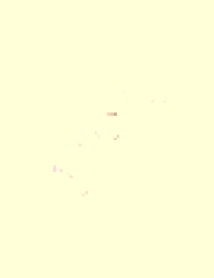 COC(=O)c1ccc2c(C(=O)C(=N)SC)c[nH]c2c1